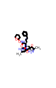 CCCC(C[C@@H](c1ccc(C)cc1)[C@H](C/C=C/c1ccccc1)C(=O)NOC1CCCCO1)(C(=O)NN)C(=O)[C@@H](C)N